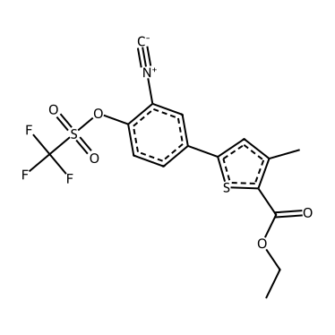 [C-]#[N+]c1cc(-c2cc(C)c(C(=O)OCC)s2)ccc1OS(=O)(=O)C(F)(F)F